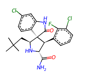 CC(C)(C)C[C@@H]1N[C@@H](C(N)=O)[C@H](c2cccc(Cl)c2F)[C@]12C(=O)Nc1cc(Cl)ccc12